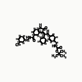 CC(C)(C)OC(=O)NCc1ccc(N/C(=C2\C(=O)Nc3ccc(C(=O)NCc4cccc(Cl)c4)cc32)c2ccccc2)cc1